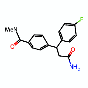 CNC(=O)c1ccc(C(CC(N)=O)c2ccc(F)cc2)cc1